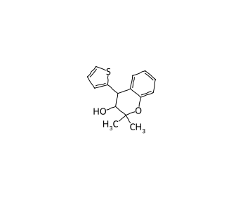 CC1(C)Oc2ccccc2C(c2cccs2)C1O